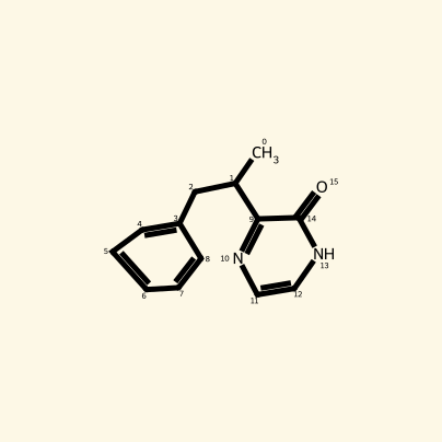 CC(Cc1ccccc1)c1ncc[nH]c1=O